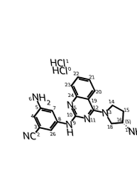 Cl.Cl.N#Cc1cc(N)cc(Nc2nc(N3CC[C@H](N)C3)c3ccccc3n2)c1